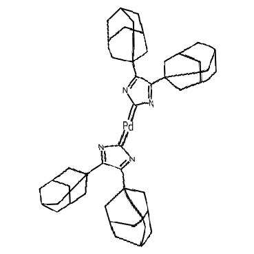 C1C2CC3CC1CC(C1=N[C](=[Pd]=[C]4N=C(C56CC7CC(CC(C7)C5)C6)C(C56CC7CC(CC(C7)C5)C6)=N4)N=C1C14CC5CC(CC(C5)C1)C4)(C2)C3